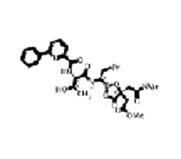 CNC(=O)C[C@]1(CC(=O)OC)OB([C@H](CC(C)C)NC(=O)[C@@H](NC(=O)c2cccc(-c3ccccc3)n2)[C@@H](C)O)OC1=O